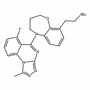 Cc1nnc2nc(N3CCCOc4c(CCC(C)(C)C)cccc43)c3c(F)cccc3n12